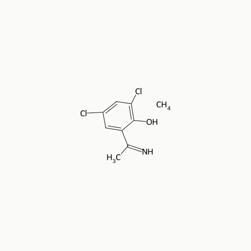 C.CC(=N)c1cc(Cl)cc(Cl)c1O